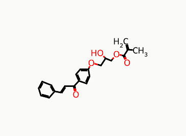 C=C(C)C(=O)OCC(O)COc1ccc(C(=O)C=Cc2ccccc2)cc1